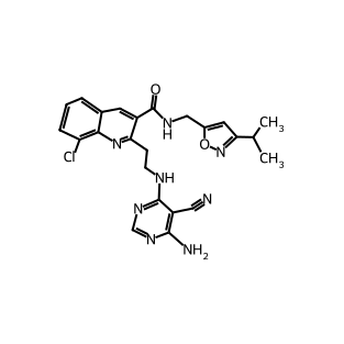 CC(C)c1cc(CNC(=O)c2cc3cccc(Cl)c3nc2CCNc2ncnc(N)c2C#N)on1